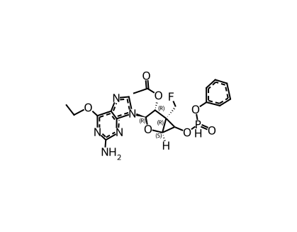 CCOc1nc(N)nc2c1ncn2[C@@H]1O[C@@H]2C(O[PH](=O)Oc3ccccc3)[C@]2(CF)[C@H]1OC(C)=O